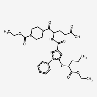 CCCC(Oc1cc(C(=O)NC(CCC(=O)O)C(=O)N2CCN(C(=O)OCC)CC2)nn1-c1ccccc1)C(=O)OCC